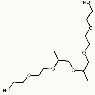 CC(COCCOCCO)OCC(C)OCCOCCO